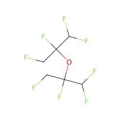 FCC(F)(OC(F)(CF)C(F)F)C(F)F